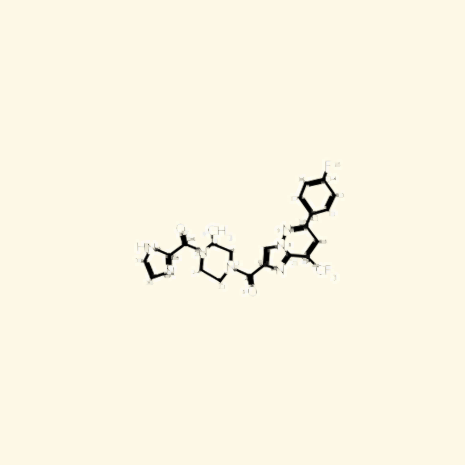 C[C@H]1CN(C(=O)c2cn3nc(-c4ccc(F)cc4)cc(C(F)(F)F)c3n2)CCN1C(=O)c1ncc[nH]1